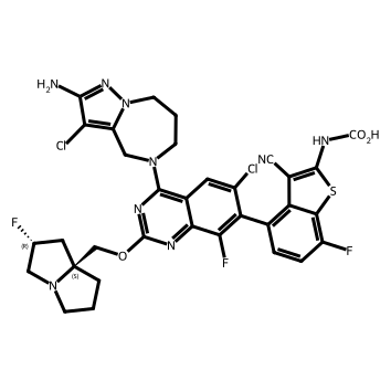 N#Cc1c(NC(=O)O)sc2c(F)ccc(-c3c(Cl)cc4c(N5CCCn6nc(N)c(Cl)c6C5)nc(OC[C@@]56CCCN5C[C@H](F)C6)nc4c3F)c12